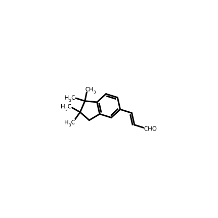 CC1(C)Cc2cc(C=CC=O)ccc2C1(C)C